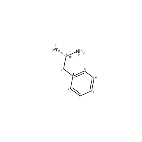 CC(C)[C@H](N)Cc1ccccc1